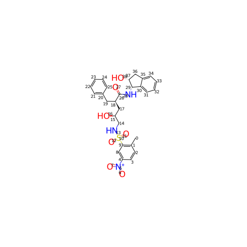 Cc1ccc([N+](=O)[O-])cc1S(=O)(=O)NC[C@@H](O)C[C@@H](Cc1ccccc1)C(=O)N[C@H]1c2ccccc2C[C@H]1O